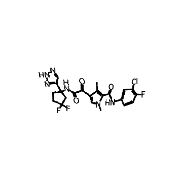 Cc1c(C(=O)C(=O)N[C@]2(c3cn[nH]n3)CCC(F)(F)C2)cn(C)c1C(=O)Nc1ccc(F)c(Cl)c1